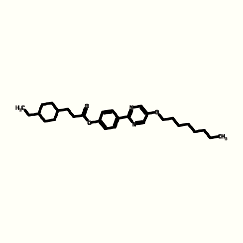 CCCCCCCCOc1cnc(-c2ccc(OC(=O)CCC3CCC(CC)CC3)cc2)nc1